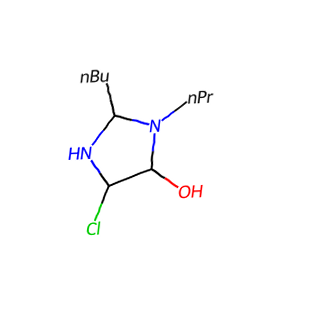 CCCCC1NC(Cl)C(O)N1CCC